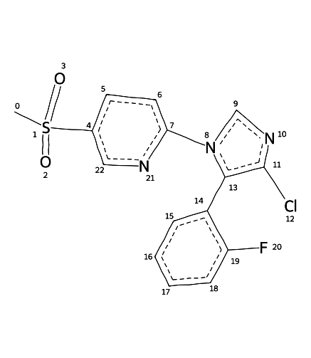 CS(=O)(=O)c1ccc(-n2cnc(Cl)c2-c2ccccc2F)nc1